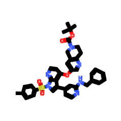 Cc1ccc(S(=O)(=O)n2cc(-c3ccnc(NCc4ccccc4)c3)c3c(Oc4cnc5c(c4)CN(C(=O)OC(C)(C)C)CC5)ccnc32)cc1